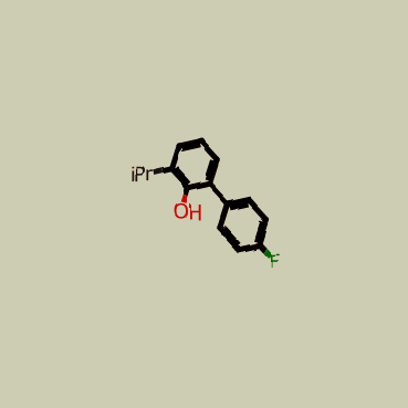 CC(C)c1cccc(-c2ccc(F)cc2)c1O